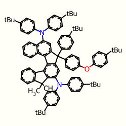 CC(C)(C)c1ccc(Oc2ccc(C3(c4ccc(C(C)(C)C)cc4)c4cc(N(c5ccc(C(C)(C)C)cc5)c5ccc(C(C)(C)C)cc5)c5c(c4-c4c3cc(N(c3ccc(C(C)(C)C)cc3)c3ccc(C(C)(C)C)cc3)c3ccccc43)-c3ccccc3C5(C)C)cc2)cc1